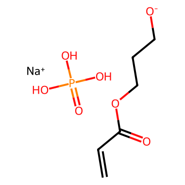 C=CC(=O)OCCC[O-].O=P(O)(O)O.[Na+]